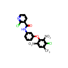 O=C(Nc1cccc(Oc2c([N+](=O)[O-])cc(C(F)(F)F)c(Cl)c2[N+](=O)[O-])c1)c1cccnc1Cl